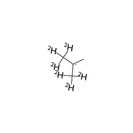 [2H]C([2H])([2H])[C](C)C([2H])([2H])[2H]